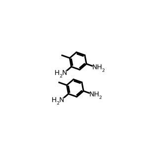 Cc1ccc(N)cc1N.Cc1ccc(N)cc1N